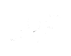 C/N=C1/C[C@H](c2c(F)cc(OC)cc2F)CN1